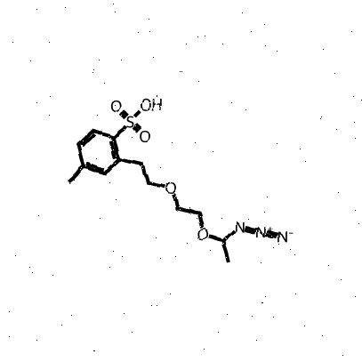 Cc1ccc(S(=O)(=O)O)c(CCOCCOC(C)N=[N+]=[N-])c1